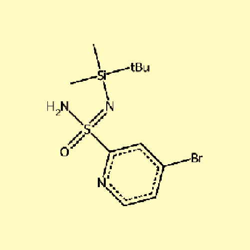 CC(C)(C)[Si](C)(C)N=S(N)(=O)c1cc(Br)ccn1